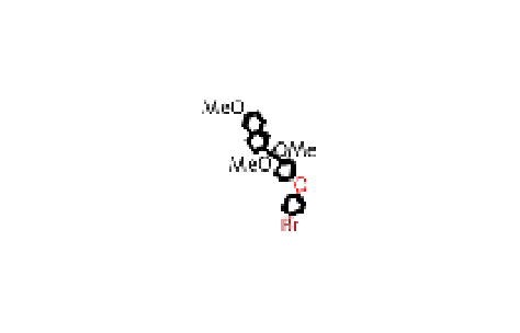 COc1ccc2cc(C(OC)(OC)c3ccc(Oc4ccc(Br)cc4)cc3)ccc2c1